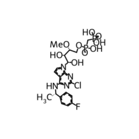 CO[C@H](COP(=O)(O)CP(=O)(O)O)[C@@H](O)[C@@H](O)n1ccc2c(N[C@@H](C)c3ccc(F)cc3)nc(Cl)nc21